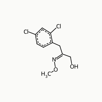 CON=C(CO)Cc1ccc(Cl)cc1Cl